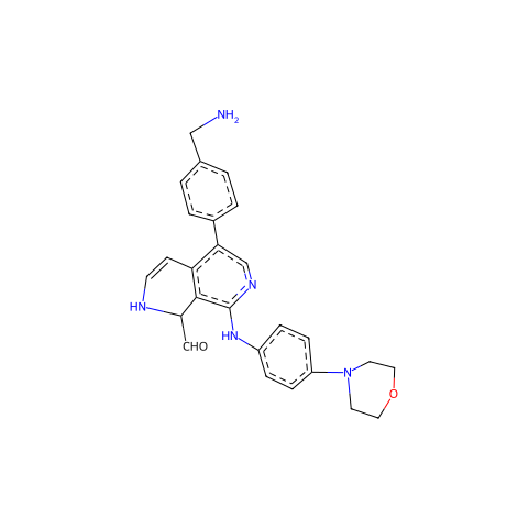 NCc1ccc(-c2cnc(Nc3ccc(N4CCOCC4)cc3)c3c2C=CNC3C=O)cc1